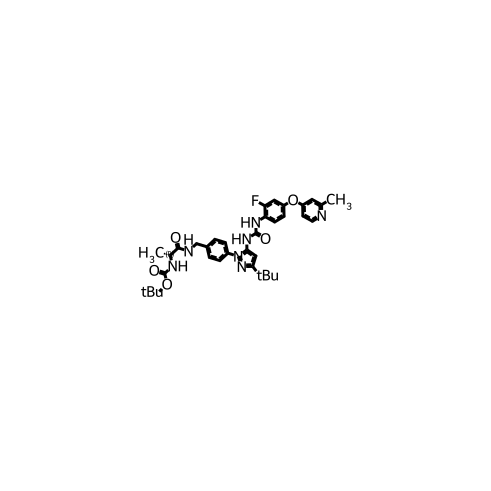 Cc1cc(Oc2ccc(NC(=O)Nc3cc(C(C)(C)C)nn3-c3ccc(CNC(=O)[C@@H](C)NC(=O)OC(C)(C)C)cc3)c(F)c2)ccn1